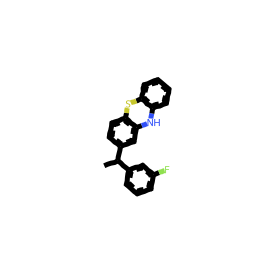 CC(c1cccc(F)c1)c1ccc2c(c1)Nc1ccccc1S2